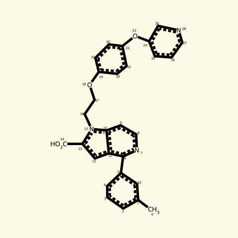 Cc1cccc(-c2nccc3c2cc(C(=O)O)n3CCOc2ccc(Oc3cccnc3)cc2)c1